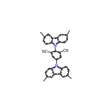 Cc1ccc2c(c1)c1cc(C)ccc1n2-c1cc(C#N)c(-n2c3ccc(C)cc3c3cc(C)ccc32)c(C#N)c1